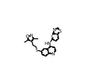 Cc1noc(C)c1CCSc1ccc2nccc(Nc3ccc4scnc4c3)c2c1